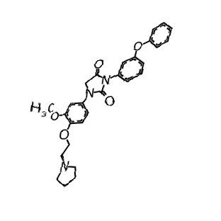 COc1cc(N2CC(=O)N(c3cccc(Oc4ccccc4)c3)C2=O)ccc1OCCN1CCCC1